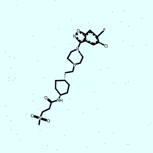 CS(=O)(=O)CCC(=O)N[C@H]1CC[C@H](CCN2CCN(c3noc4cc(F)c(Cl)cc34)CC2)CC1